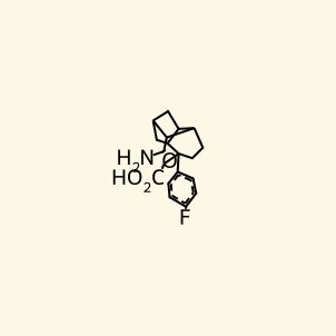 NC(=O)C1C2CC3C1CCC(CC(=O)O)(c1ccc(F)cc1)C3C2